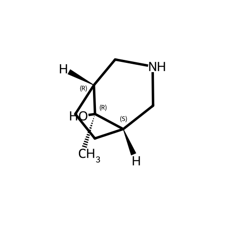 C[C@]1(O)[C@@H]2CC[C@H]1CNC2